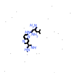 CN/C=C(\C=N)c1cnc2ccc(N/C(N)=C/C(=C\N)CC(C)C)nc2c1